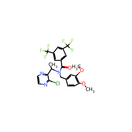 COc1ccc(CN(C(=O)c2cc(C(F)(F)F)cc(C(F)(F)F)c2)C(C)c2nccnc2Cl)cc1OC